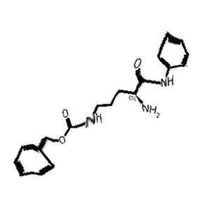 N[C@@H](CCCNC(=O)OCc1ccccc1)C(=O)Nc1[c]cccc1